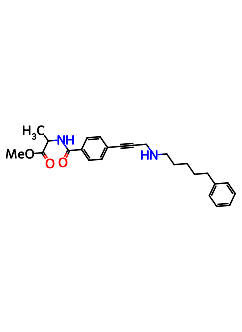 COC(=O)C(C)NC(=O)c1ccc(C#CCNCCCCCc2ccccc2)cc1